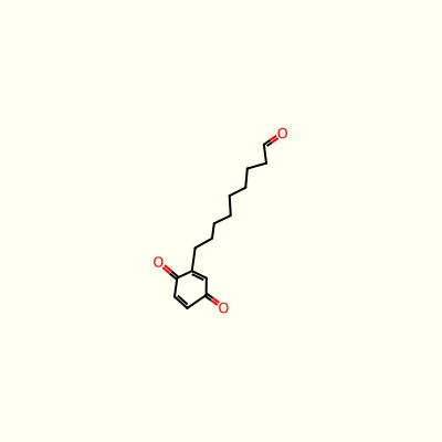 O=CCCCCCCCCC1=CC(=O)C=CC1=O